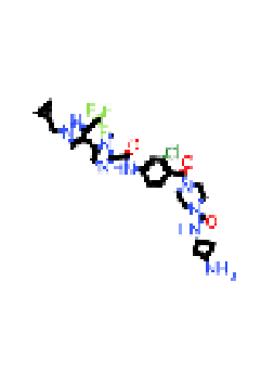 Cn1c(-c2cn(CC3CC3)nc2C(F)(F)F)cnc1C(=O)Nc1ccc(C(=O)N2CCN(C(=O)N[C@H]3C[C@@H](N)C3)CC2)c(Cl)c1